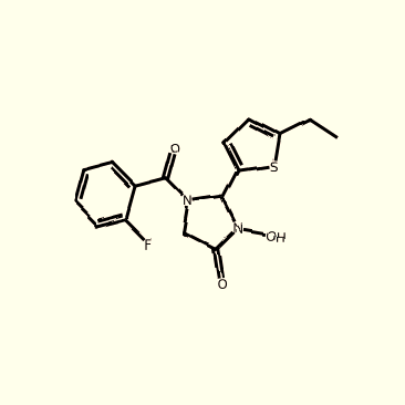 CCc1ccc(C2N(O)C(=O)CN2C(=O)c2ccccc2F)s1